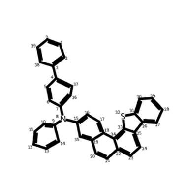 c1ccc(-c2ccc(N(c3ccccc3)c3ccc4c(ccc5ccc6c7ccccc7sc6c54)c3)cc2)cc1